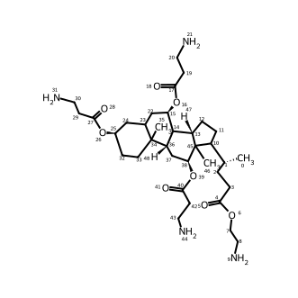 C[C@H](CCC(=O)OCCN)C1CC[C@H]2C3[C@H](OC(=O)CCN)CC4C[C@H](OC(=O)CCN)CCC4(C)[C@H]3C[C@H](OC(=O)CCN)C12C